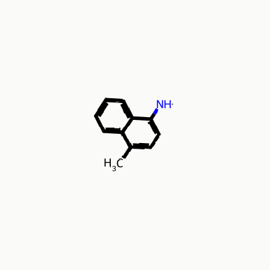 Cc1ccc([NH])c2ccccc12